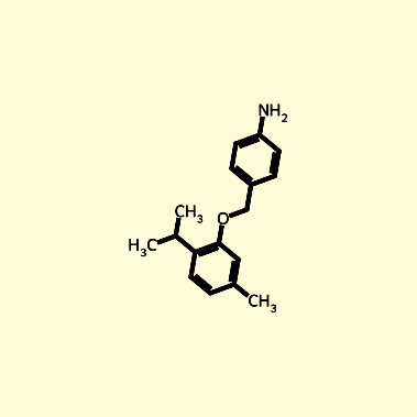 Cc1ccc(C(C)C)c(OCc2ccc(N)cc2)c1